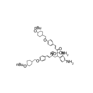 CCCCOC1CCC(COc2ccc(/C=C/C(=O)CC(c3ccc(N)cc3N)C(O)(O)C(=O)/C=C/c3ccc(OCC4CCC(OCCCC)CC4)cc3)cc2)CC1